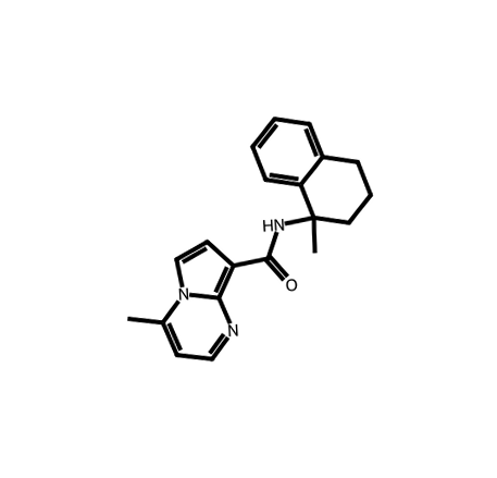 Cc1ccnc2c(C(=O)NC3(C)CCCc4ccccc43)ccn12